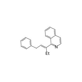 CCC(=CCc1ccccc1)c1nccc2ccccc12